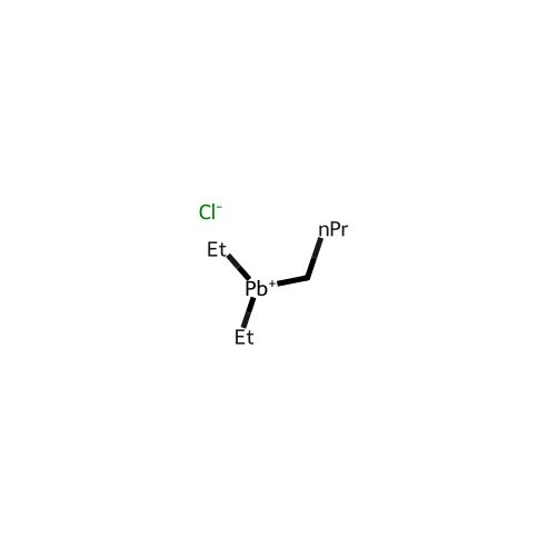 CCC[CH2][Pb+]([CH2]C)[CH2]C.[Cl-]